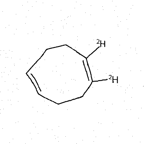 [2H]C1=C([2H])CCC=CCC1